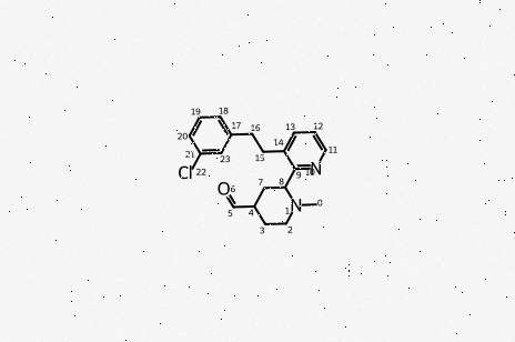 CN1CCC(C=O)CC1c1ncccc1CCc1cccc(Cl)c1